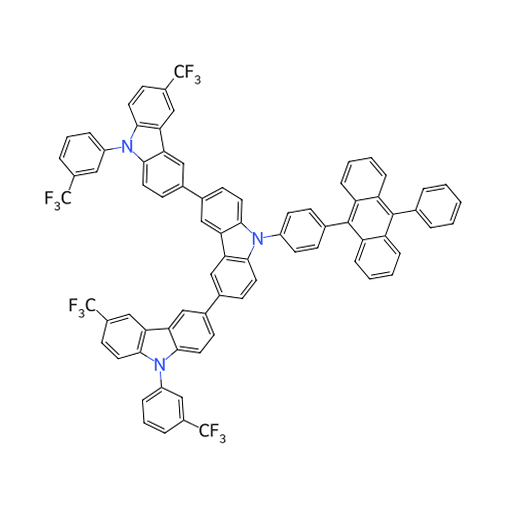 FC(F)(F)c1cccc(-n2c3ccc(-c4ccc5c(c4)c4cc(-c6ccc7c(c6)c6cc(C(F)(F)F)ccc6n7-c6cccc(C(F)(F)F)c6)ccc4n5-c4ccc(-c5c6ccccc6c(-c6ccccc6)c6ccccc56)cc4)cc3c3cc(C(F)(F)F)ccc32)c1